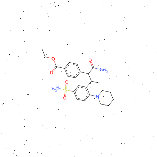 CCOC(=O)c1ccc(C(C(N)=O)C(C)c2cc(S(N)(=O)=O)ccc2N2CCCCC2)cc1